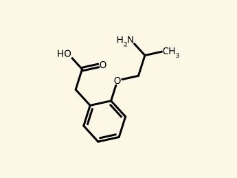 CC(N)COc1ccccc1CC(=O)O